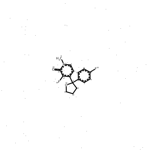 Cn1ccc(C2(c3ccc(F)cc3)CCCO2)c(F)c1=O